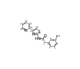 O=C(Cc1cccc(F)c1)Nc1nc(-c2ccccn2)cs1